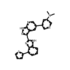 CN(C)c1cncc(-c2cnc3[nH]nc(-c4nc5c(-c6cccs6)cccc5[nH]4)c3c2)c1